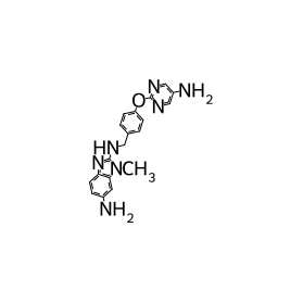 Cn1c(NCc2ccc(Oc3ncc(N)cn3)cc2)nc2ccc(N)cc21